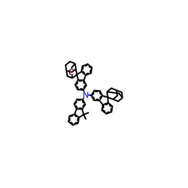 CC1(C)c2ccccc2-c2ccc(N(c3ccc4c(c3)-c3ccccc3C43C4CC5CC(C4)CC3C5)c3ccc4c(c3)-c3ccccc3C43C4CCC5CCC(C4)CC53)cc21